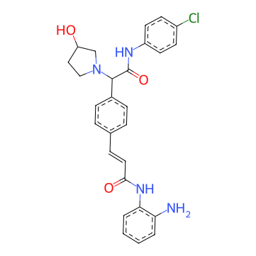 Nc1ccccc1NC(=O)C=Cc1ccc(C(C(=O)Nc2ccc(Cl)cc2)N2CCC(O)C2)cc1